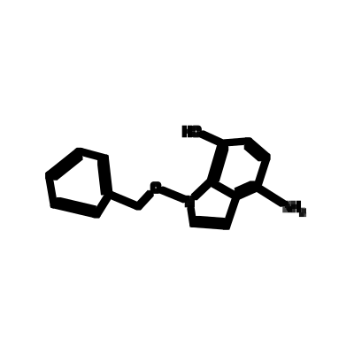 Nc1ccc(O)c2c1ccn2OCc1ccccc1